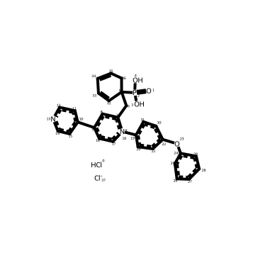 Cl.O=P(O)(O)C1(Cc2cc(-c3ccncc3)cc[n+]2-c2ccc(Oc3ccccc3)cc2)C=CC=CC1.[Cl-]